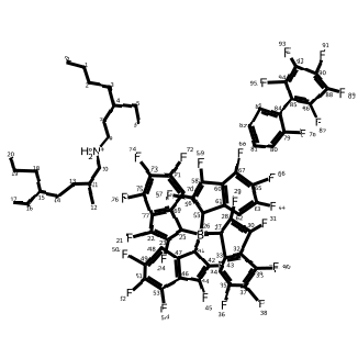 CCCCC(CC)CC[NH2+]CC(C)CCC(CC)CCC.FC1=C(F)C([B-](C2C(F)=C(F)c3c2cc(F)c(F)c3F)(C2C(F)=C(F)c3c2cc(F)c(F)c3F)C2C(F)=C(F)c3c2cc(F)c(F)c3F)c2cc(F)c(F)c(F)c21.Fc1ccccc1-c1c(F)c(F)c(F)c(F)c1F